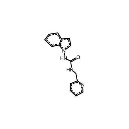 O=C(NCc1ccccn1)Nn1ccc2ccccc21